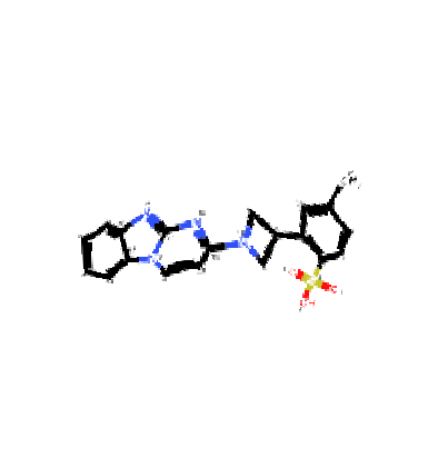 Cc1ccc(S(=O)(=O)O)c(C2CN(c3ccn4c(n3)nc3ccccc34)C2)c1